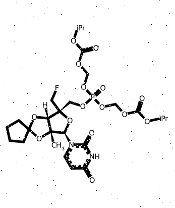 CC(C)OC(=O)OCOP(=O)(OCOC(=O)OC(C)C)OC[C@@]1(CF)O[C@@H](n2ccc(=O)[nH]c2=O)[C@]2(C)OC3(CCCC3)O[C@H]12